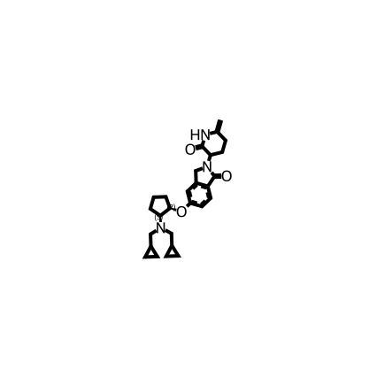 C=C1CCC(N2Cc3cc(O[C@@H]4CCC[C@@H]4N(CC4CC4)CC4CC4)ccc3C2=O)C(=O)N1